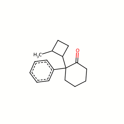 CC1CCC1C1(c2ccccc2)CCCCC1=O